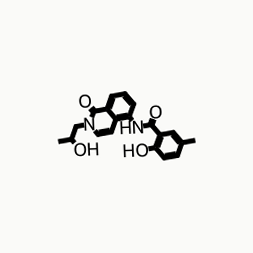 Cc1ccc(O)c(C(=O)Nc2cccc3c(=O)n(CC(C)O)ccc23)c1